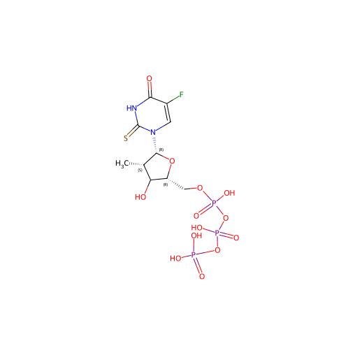 C[C@H]1C(O)[C@@H](COP(=O)(O)OP(=O)(O)OP(=O)(O)O)O[C@H]1n1cc(F)c(=O)[nH]c1=S